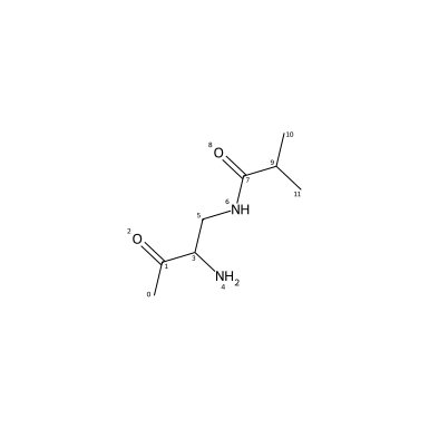 CC(=O)C(N)CNC(=O)C(C)C